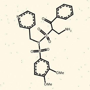 COc1ccc(S(=O)(=O)N(Cc2cccnc2)S(=O)(=O)C(CN)C(=O)c2ccccc2)cc1OC